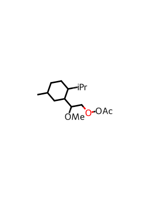 COC(COOC(C)=O)C1CC(C)CCC1C(C)C